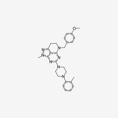 COc1ccc(CN2CCc3nn(C)c4nc(N5CCN(c6ccccc6C)CC5)nc2c34)cc1